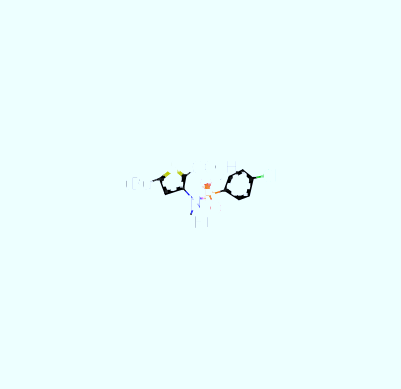 CCOP(=O)(c1ccc(Cl)cc1)N(C)c1cc(C(C)(C)C)sc1C(=O)O